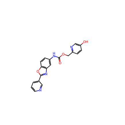 O=C(Nc1ccc2oc(-c3cccnc3)nc2c1)OCc1ccc(O)cn1